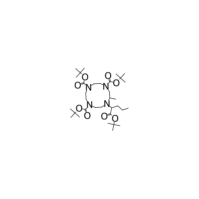 CCCC(C(=O)OC(C)(C)C)N1CCN(C(=O)OC(C)(C)C)CCN(C(=O)OC(C)(C)C)CCN(C(=O)OC(C)(C)C)CC1C